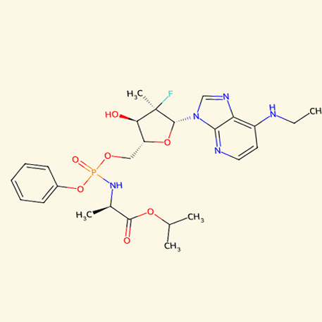 CCNc1ccnc2c1ncn2[C@@H]1O[C@H](COP(=O)(N[C@H](C)C(=O)OC(C)C)Oc2ccccc2)[C@@H](O)[C@@]1(C)F